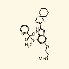 COCCOc1cc(N(C)S(=O)(=O)c2ccccn2)c2[nH]c(C3=NCC4(CCCCC4)S3)cc2c1